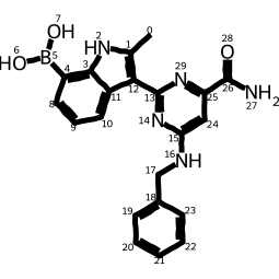 Cc1[nH]c2c(B(O)O)cccc2c1-c1nc(NCc2ccccc2)cc(C(N)=O)n1